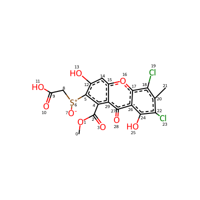 COC(=O)c1c([S+]([O-])CC(=O)O)c(O)cc2oc3c(Cl)c(C)c(Cl)c(O)c3c(=O)c12